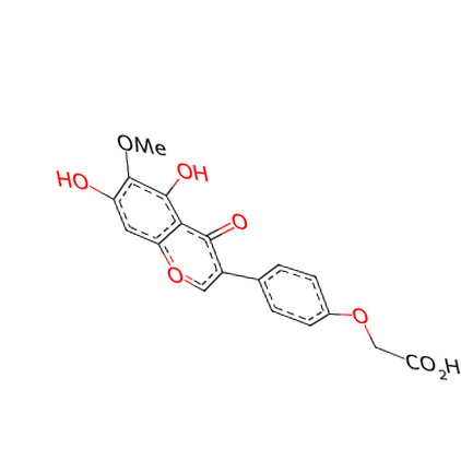 COc1c(O)cc2occ(-c3ccc(OCC(=O)O)cc3)c(=O)c2c1O